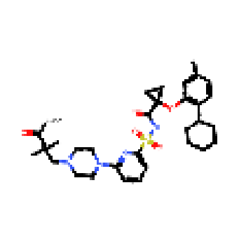 COC(=O)C(C)(C)CN1CCN(c2cccc(S(=O)(=O)NC(=O)C3(Oc4cc(C)ccc4C4CCCCC4)CC3)n2)CC1